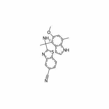 COc1cc(C)c2[nH]ccc2c1C(C)(N)c1nc2cc(C#N)ccc2s1